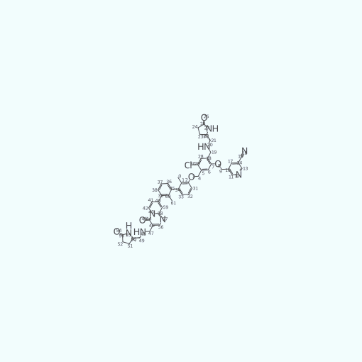 Cc1c(OCc2cc(OCc3cncc(C#N)c3)c(CNC[C@H]3CCC(=O)N3)cc2Cl)cccc1-c1cccc(-c2ccn3c(=O)c(CNC[C@H]4CCC(=O)N4)cnc3c2)c1C